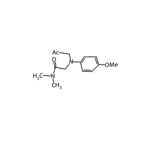 COc1ccc(N(CC(C)=O)CC(=O)N(C)C)cc1